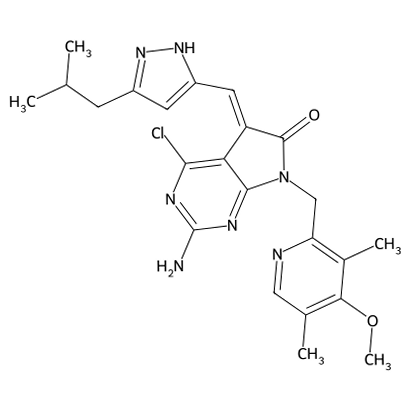 COc1c(C)cnc(CN2C(=O)/C(=C/c3cc(CC(C)C)n[nH]3)c3c(Cl)nc(N)nc32)c1C